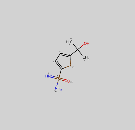 CC(C)(O)c1ccc(S(=N)(N)=O)s1